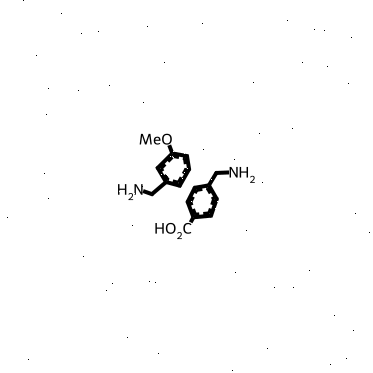 COc1cccc(CN)c1.NCc1ccc(C(=O)O)cc1